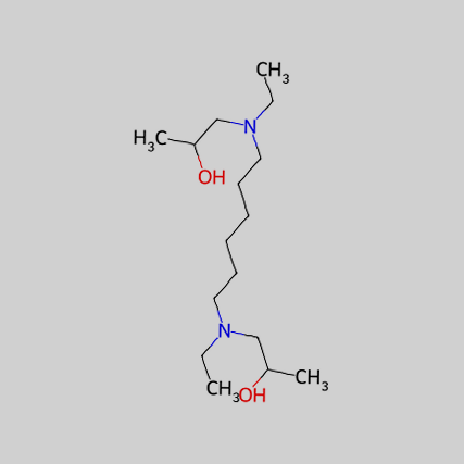 CCN(CCCCCCN(CC)CC(C)O)CC(C)O